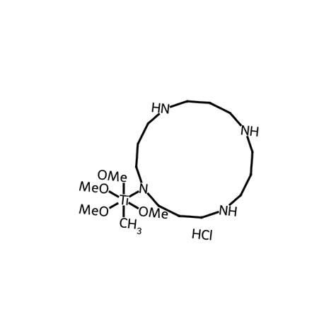 C[O][Ti]([CH3])([O]C)([O]C)([O]C)[N]1CCCNCCCNCCCNCCC1.Cl